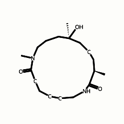 C[C@@H]1CCC[C@](C)(O)CCCN(C)C(=O)CCCCCNC1=O